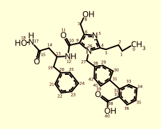 CCCCc1nc(CO)c(C(=O)NC(CC(=O)NO)Cc2ccccc2)n1Cc1ccc(-c2ccccc2C(=O)O)cc1